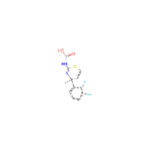 CC1(c2cccc(F)c2F)C=CSC(NC(=O)O)=N1